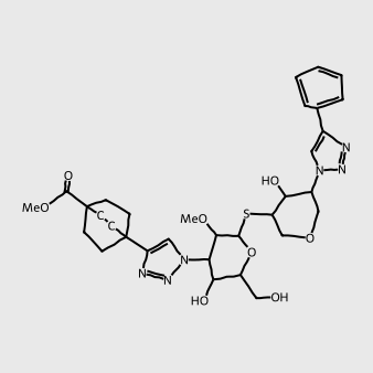 COC(=O)C12CCC(c3cn(C4C(O)C(CO)OC(SC5COCC(n6cc(-c7ccccc7)nn6)C5O)C4OC)nn3)(CC1)CC2